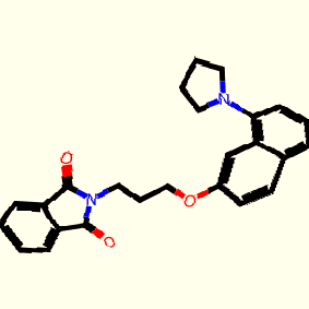 O=C1c2ccccc2C(=O)N1CCCOc1ccc2cccc(N3CCCC3)c2c1